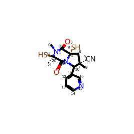 CN1C(=O)[C@@]2(S)C[C@](C)(C#N)C(c3cccnc3)N2C(=O)[C@@]1(C)S